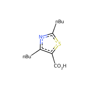 CCCCc1nc(CCCC)c(C(=O)O)s1